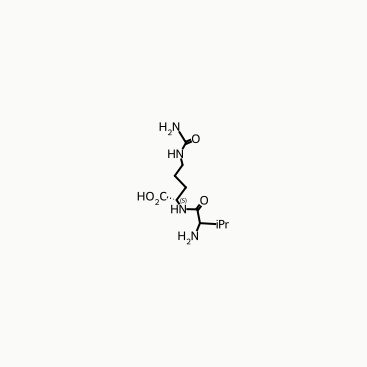 CC(C)C(N)C(=O)N[C@@H](CCCNC(N)=O)C(=O)O